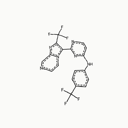 FC(F)(F)c1ccc(Nc2ccnc(-c3c(C(F)(F)F)nc4cnccn34)n2)cc1